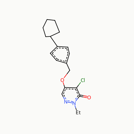 CCn1ncc(OCc2ccc(C3CCCCC3)cc2)c(Cl)c1=O